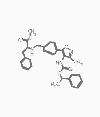 COC(=O)C(Cc1ccccc1)NCc1ccc(-c2onc(C)c2NC(=O)O[C@H](C)c2ccccc2)cc1